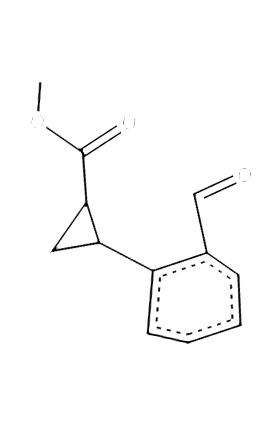 COC(=O)C1CC1c1ccccc1C=O